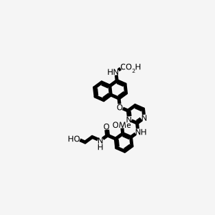 COc1c(Nc2nccc(Oc3ccc(NC(=O)O)c4ccccc34)n2)cccc1C(=O)NCCO